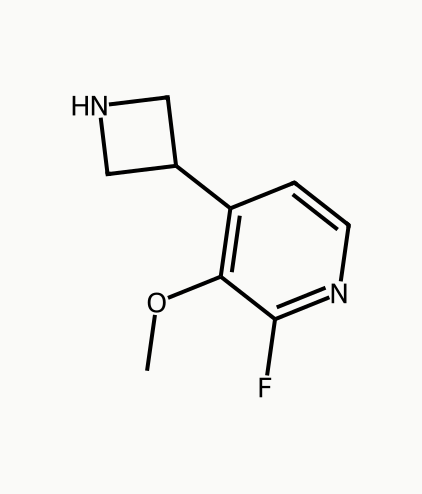 COc1c(C2CNC2)ccnc1F